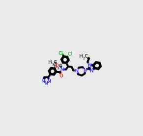 C=CCn1c(N2CCCN(CCC(CN(C)C(=O)c3cc(C4C=NN=N4)ccc3OC)c3ccc(Cl)c(Cl)c3)CC2)nc2ccccc21